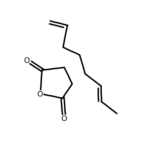 C=CCCCC=CC.O=C1CCC(=O)O1